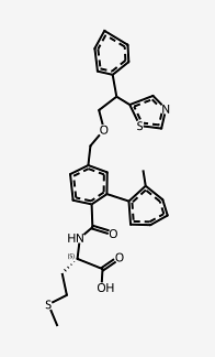 CSCC[C@H](NC(=O)c1ccc(COCC(c2ccccc2)c2cncs2)cc1-c1ccccc1C)C(=O)O